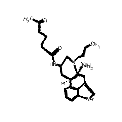 CCCN1CC(NC(=O)CCCC(C)=O)C[C@@H]2c3cccc4[nH]cc(c34)C[C@]21N